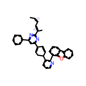 C/C=C\C=C(/C)c1nc(C2=CCC(c3cccnc3-c3cccc4c3oc3ccccc34)C=C2)cc(-c2ccccc2)n1